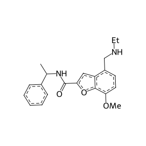 CCNCc1ccc(OC)c2oc(C(=O)NC(C)c3ccccc3)cc12